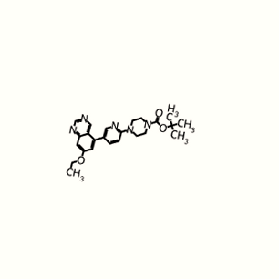 CCOc1cc(-c2ccc(N3CCN(C(=O)OC(C)(C)C)CC3)nc2)c2cncnc2c1